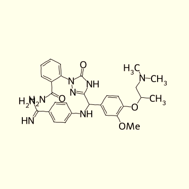 COc1cc(C(Nc2ccc(C(=N)N)cc2)c2nn(-c3ccccc3C(N)=O)c(=O)[nH]2)ccc1OC(C)CN(C)C